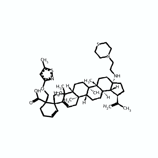 C=C(C)[C@@H]1CC[C@]2(NCCN3CCSCC3)CC[C@]3(C)[C@H](CC[C@@H]4[C@@]5(C)CC=C(C6(CC)C=CCCC6(COc6cc(C)sn6)C(=O)O)C(C)(C)[C@@H]5CC[C@]43C)[C@@H]12